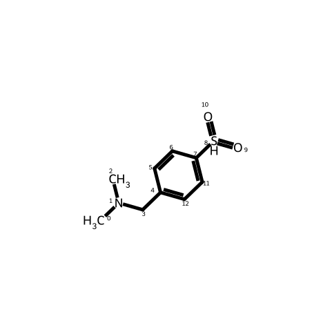 CN(C)Cc1ccc([SH](=O)=O)cc1